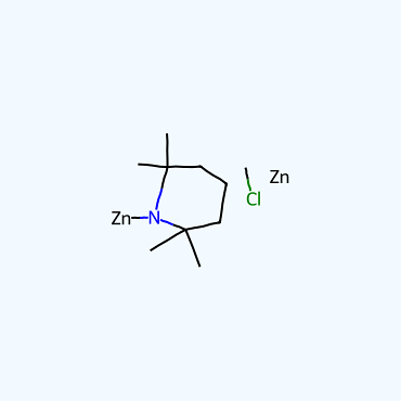 CC1(C)CCCC(C)(C)[N]1[Zn].CCl.[Zn]